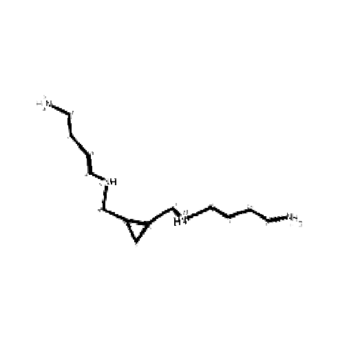 NCCCCNCC1CC1CNCCCCN